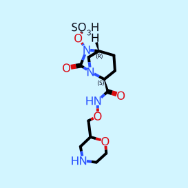 O=C(NOCC1CNCCO1)[C@@H]1CC[C@@H]2CN1C(=O)N2OS(=O)(=O)O